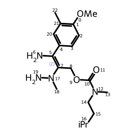 COc1ccc(/C(N)=C(\COC(=O)N(C)CCC(C)C)N(C)N)cc1C